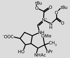 CCCC(C)(OC)C(NC(C)=O)C1C(NC=[N+](NC(=O)OC(C)(C)C)C(=O)OC(C)(C)C)CC(C(=O)[O-])C1O